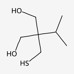 CC(C)C(CO)(CO)CS